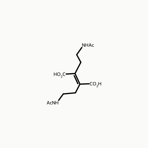 CC(=O)NCC/C(C(=O)O)=C(/CCNC(C)=O)C(=O)O